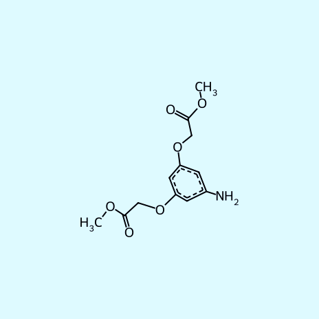 COC(=O)COc1cc(N)cc(OCC(=O)OC)c1